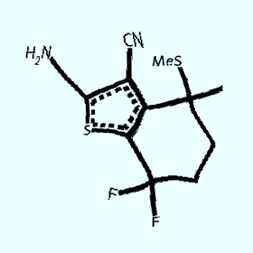 CSC1(C)CCC(F)(F)c2sc(N)c(C#N)c21